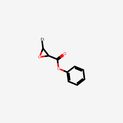 CCC1OC1C(=O)Oc1ccccc1